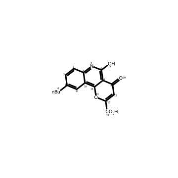 CCCCc1ccc2nc(O)c3c(=O)cc(C(=O)O)oc3c2c1